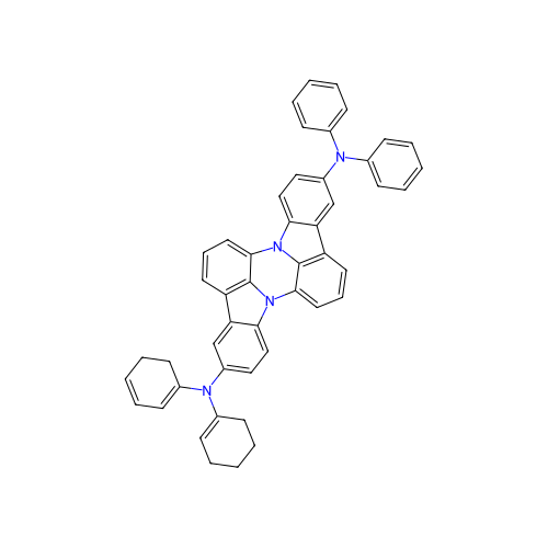 C1=CCCC(N(C2=CCCCC2)c2ccc3c(c2)c2cccc4c2n3c2cccc3c5cc(N(c6ccccc6)c6ccccc6)ccc5n4c32)=C1